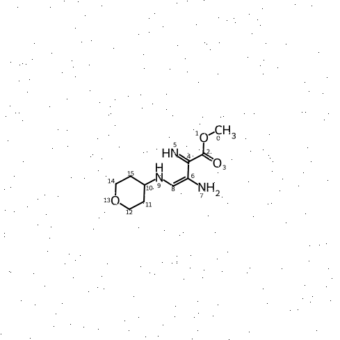 COC(=O)C(=N)/C(N)=C\NC1CCOCC1